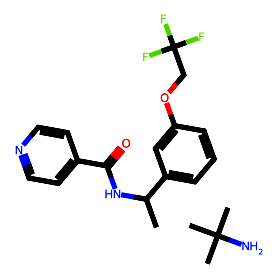 CC(C)(C)N.CC(NC(=O)c1ccncc1)c1cccc(OCC(F)(F)F)c1